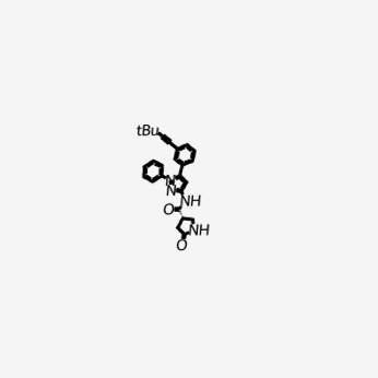 CC(C)(C)C#Cc1cccc(-c2cc(NC(=O)[C@@H]3CNC(=O)C3)nn2-c2ccccc2)c1